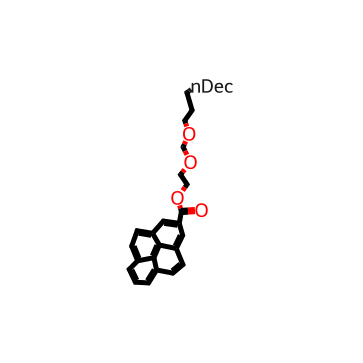 CCCCCCCCCCCCCOCOCCOC(=O)c1cc2ccc3cccc4ccc(c1)c2c34